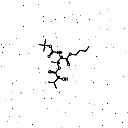 CCCCOC(=O)[C@@H](NC(=O)OC(C)(C)C)[C@@H](C)OC(=O)[C@@H](O)C(C)C